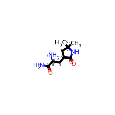 CC1(C)CC(C[C@H](N)C(N)=O)C(=O)N1